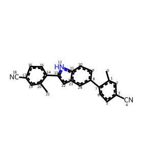 Cc1cc(C#N)ccc1-c1ccc2[nH]c(-c3ccc(C#N)cc3C)cc2c1